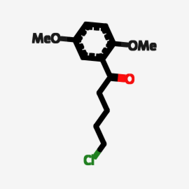 COc1ccc(OC)c(C(=O)CCCCCl)c1